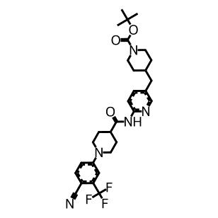 CC(C)(C)OC(=O)N1CCC(Cc2ccc(NC(=O)C3CCN(c4ccc(C#N)c(C(F)(F)F)c4)CC3)nc2)CC1